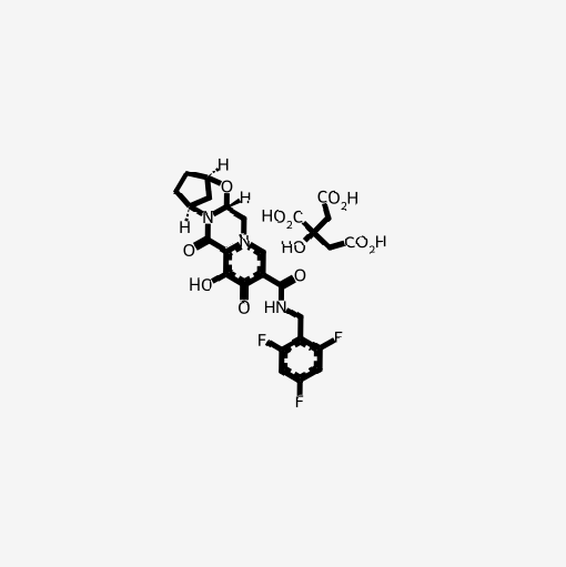 O=C(NCc1c(F)cc(F)cc1F)c1cn2c(c(O)c1=O)C(=O)N1[C@H]3CC[C@H](C3)O[C@@H]1C2.O=C(O)CC(O)(CC(=O)O)C(=O)O